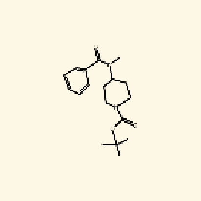 CN(C(=O)c1cc[c]cc1)C1CCN(C(=O)OC(C)(C)C)CC1